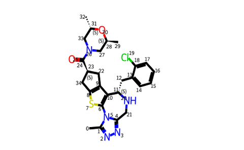 Cc1nnc2n1-c1sc3c(c1[C@H](Cc1ccccc1Cl)NC2)C[C@H](C(=O)N1C[C@H](C)O[C@@H](C)C1)C3